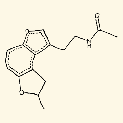 CC(=O)NCCc1coc2ccc3c(c12)CC(C)O3